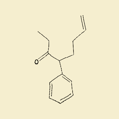 C=CCCC(C(=O)CC)c1ccccc1